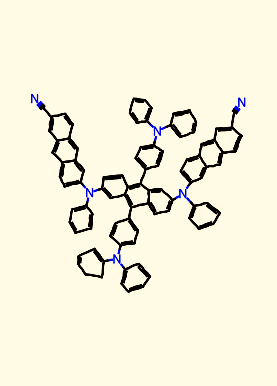 N#Cc1ccc2cc3cc(N(c4ccccc4)c4ccc5c(-c6ccc(N(c7ccccc7)c7ccccc7)cc6)c6cc(N(c7ccccc7)c7ccc8cc9cc(C#N)ccc9cc8c7)ccc6c(-c6ccc(N(C7=CC=CCC7)c7ccccc7)cc6)c5c4)ccc3cc2c1